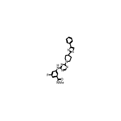 CNC(=O)c1cc(F)cc(Nc2ncnc(N3CCC(c4nc(-c5ccccc5)cs4)CC3)n2)c1